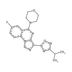 CC(C)c1noc(-c2ncn3c2nc(N2CCOCC2)c2cc(F)ccc23)n1